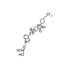 O=C1NC(C2CCC(CCC(F)(F)F)CC2)=NC12CCN(S(=O)(=O)C=Cc1cccc3c1ccn3CCOC[C@H](O)CO)CC2